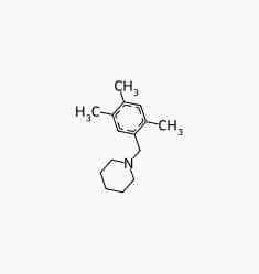 Cc1cc(C)c(CN2CCCCC2)cc1C